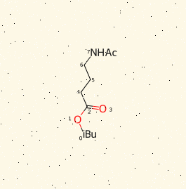 CCC(C)OC(=O)CCCNC(C)=O